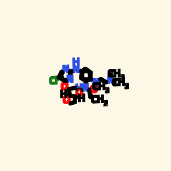 C=CC(=O)Nc1cc(Nc2ncc(Cl)c(O[C@H]3CO[C@H]4CCO[C@H]43)n2)ccc1N(C)CCN(C)C